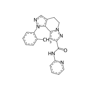 Cc1ccccc1-n1ncc2c1-c1cc(C(=O)Nc3ccccn3)nn1CC2